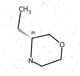 CC[C@@H]1COCC[N]1